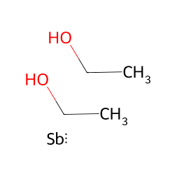 CCO.CCO.[Sb]